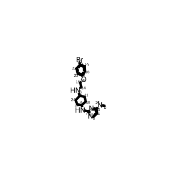 CN(C)c1ccnc(NC2CCC(NCCOc3ccc(Br)cc3)CC2)n1